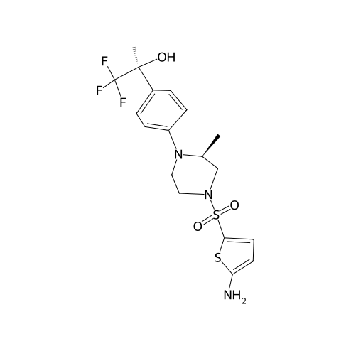 C[C@H]1CN(S(=O)(=O)c2ccc(N)s2)CCN1c1ccc([C@](C)(O)C(F)(F)F)cc1